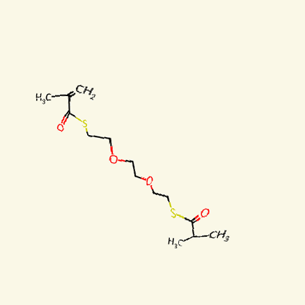 C=C(C)C(=O)SCCOCCOCCSC(=O)C(C)C